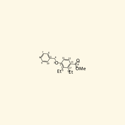 CCc1c(OCc2ccccc2)ccc(C(=O)OC)c1CC